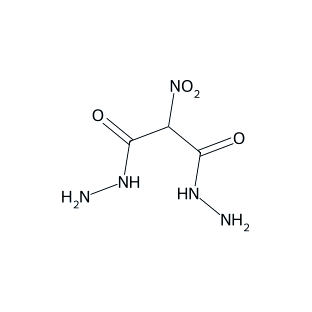 NNC(=O)C(C(=O)NN)[N+](=O)[O-]